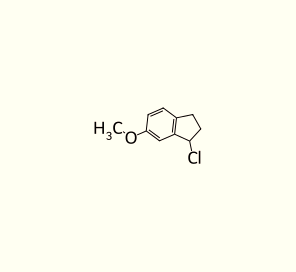 COc1ccc2c(c1)C(Cl)CC2